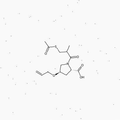 C=CCO[C@@H]1C[C@@H](C(=O)O)N(C(=O)C(C)CSC(C)=O)C1